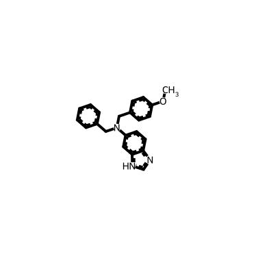 COc1ccc(CN(Cc2ccccc2)c2ccc3nc[nH]c3c2)cc1